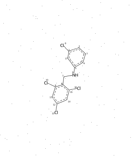 Clc1cccc(NCc2c(Cl)cc(Cl)cc2Cl)c1